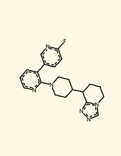 Fc1ccc(-c2cccnc2N2CCC(C3CCCn4cnnc43)CC2)cn1